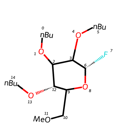 CCCCOC1C(OCCCC)[C@H](F)OC(COC)[C@@H]1OCCCC